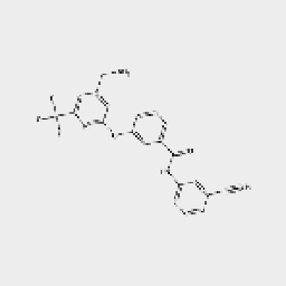 C#Cc1cccc(NC(=O)c2cccc(Oc3cc(CN)cc(C(F)(F)F)n3)c2)c1